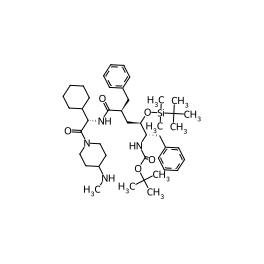 CNC1CCN(C(=O)[C@@H](NC(=O)[C@@H](Cc2ccccc2)C[C@@H](O[Si](C)(C)C(C)(C)C)[C@H](Cc2ccccc2)NC(=O)OC(C)(C)C)C2CCCCC2)CC1